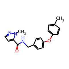 Cc1ccc(Oc2ccc(CNC(=O)c3ccnn3C)cc2)cc1